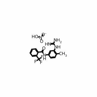 Cc1ccc(NC(=O)c2ccccc2C(F)(F)F)cc1NC(=N)N.O=[N+]([O-])O